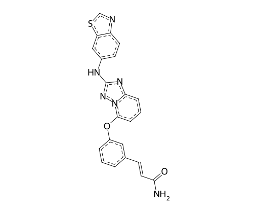 NC(=O)C=Cc1cccc(Oc2cccc3nc(Nc4ccc5ncsc5c4)nn23)c1